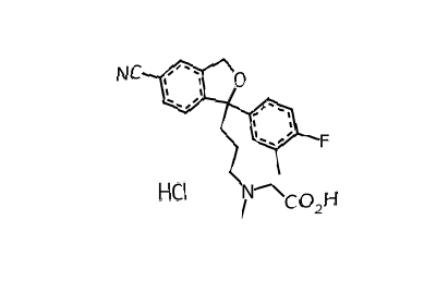 Cc1cc(C2(CCCN(C)CC(=O)O)OCc3cc(C#N)ccc32)ccc1F.Cl